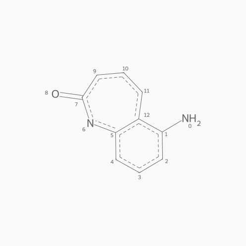 Nc1cccc2nc(=O)cccc12